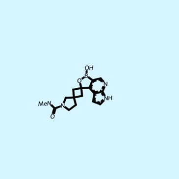 CNC(=O)N1CCC2(C1)CC1(C2)OB(O)c2cnc3[nH]ccc3c21